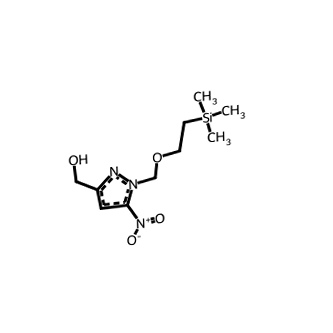 C[Si](C)(C)CCOCn1nc(CO)cc1[N+](=O)[O-]